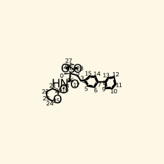 C[C@@](CCc1ccc(-c2ccccc2)cc1)(C(=O)NOC1CCCCO1)S(C)(=O)=O